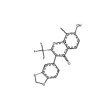 Cc1c(O)ccc2c(=O)c(-c3ccc4c(c3)OCO4)c(C(F)(F)F)oc12